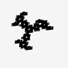 CCCCc1cnc(CCCC)c(-c2ccc(-c3nc(-c4ccc(-c5nc(CCCC)cnc5CCCC)cc4)nc(-c4ccc(-c5nc(CCCC)cnc5CCCC)cc4)n3)cc2)n1